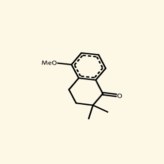 COc1cccc2c1CCC(C)(C)C2=O